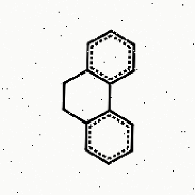 [CH]1Cc2ccccc2-c2ccccc21